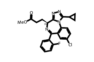 COC(=O)CC[C@@H]1N=C(c2ccccc2F)c2cc(Cl)ccc2-n2c(C3CC3)nnc21